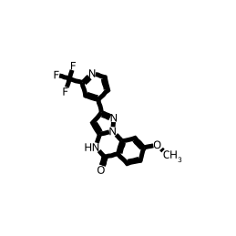 COc1ccc2c(=O)[nH]c3cc(-c4ccnc(C(F)(F)F)c4)nn3c2c1